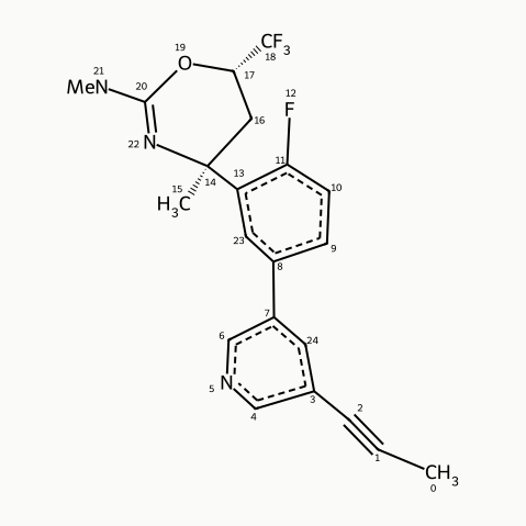 CC#Cc1cncc(-c2ccc(F)c([C@]3(C)C[C@@H](C(F)(F)F)OC(NC)=N3)c2)c1